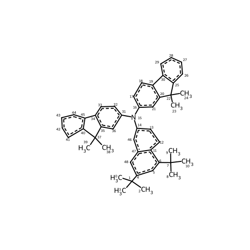 CC(C)(C)c1cc(C(C)(C)C)c2ccc(N(c3ccc4c(c3)C(C)(C)c3ccccc3-4)c3ccc4c(c3)C(C)(C)c3ccccc3-4)cc2c1